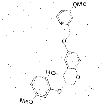 COc1cccc(O[C@H]2COc3ccc(OCc4cc(OC)ccn4)cc3[C@H]2O)c1